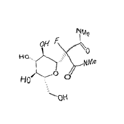 CNC(=O)C(F)(C(=O)NC)[C@@H]1O[C@H](CO)[C@@H](O)[C@H](O)[C@H]1O